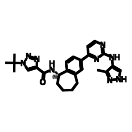 Cc1n[nH]cc1Nc1nccc(-c2ccc3c(c2)CCCC[C@@H]3NC(=O)c2cn(C(C)(C)C)nn2)n1